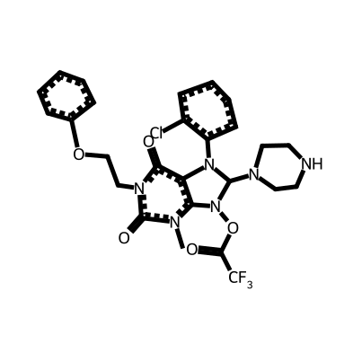 Cn1c2c(c(=O)n(CCOc3ccccc3)c1=O)N(c1ccccc1Cl)C(N1CCNCC1)N2OC(=O)C(F)(F)F